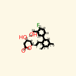 Cc1cc(C)c(C=C[C@@H]2C[C@@H](O)CC(=O)O2)c(-c2ccc(F)c(CO)c2)c1